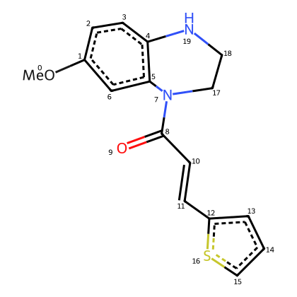 COc1ccc2c(c1)N(C(=O)C=Cc1cccs1)CCN2